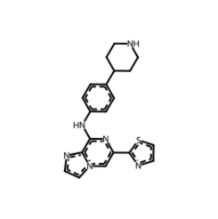 c1csc(-c2cn3ccnc3c(Nc3ccc(C4CCNCC4)cc3)n2)n1